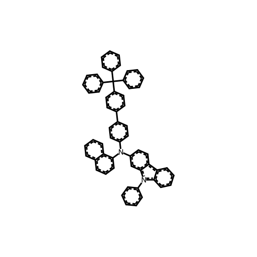 c1ccc(-n2c3ccccc3c3ccc(N(c4ccc(-c5ccc(C(c6ccccc6)(c6ccccc6)c6ccccc6)cc5)cc4)c4cccc5ccccc45)cc32)cc1